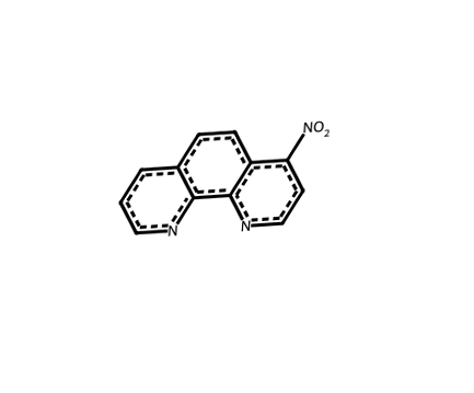 O=[N+]([O-])c1ccnc2c1ccc1cccnc12